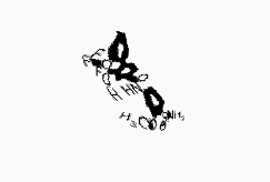 COc1cc(NC(=O)c2ccc(-c3ccccc3OC(F)(F)F)c(CO)c2)ccc1[S+](N)[O-]